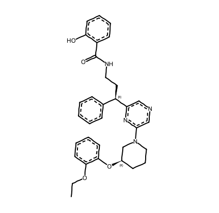 CCOc1ccccc1O[C@@H]1CCCN(c2cncc([C@H](CCNC(=O)c3ccccc3O)c3ccccc3)n2)C1